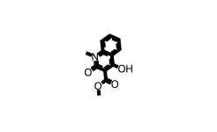 COC(=O)c1c(O)c2ccccc2n(C)c1=O